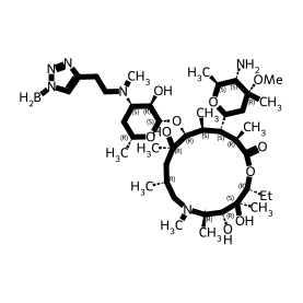 Bn1cc(CCN(C)[C@H]2C[C@@H](C)O[C@@H](O[C@@H]3[C@@H](C)[C@H](C4C[C@@](C)(OC)[C@@H](N)[C@H](C)O4)[C@@H](C)C(=O)O[C@H](CC)[C@@](C)(O)[C@H](O)[C@@H](C)N(C)C[C@H](C)C[C@@]3(C)O)[C@@H]2O)nn1